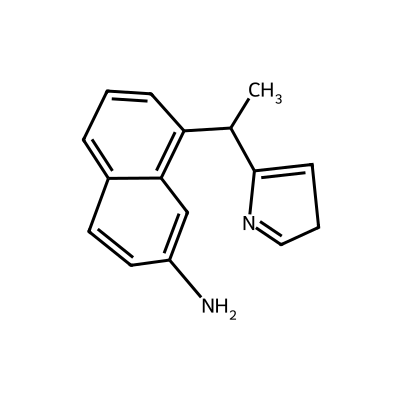 CC(C1=CCC=N1)c1cccc2ccc(N)cc12